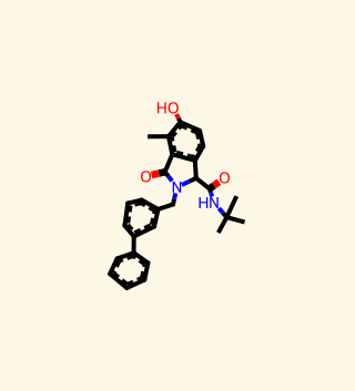 Cc1c(O)ccc2c1C(=O)N(Cc1cccc(-c3ccccc3)c1)C2C(=O)NC(C)(C)C